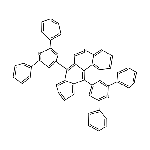 c1ccc(-c2cc(-c3c4ccccc4c(-c4cc(-c5ccccc5)nc(-c5ccccc5)c4)c4c3cnc3ccccc34)cc(-c3ccccc3)n2)cc1